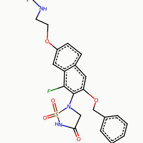 O=C(O)NCCOc1ccc2cc(OCc3ccccc3)c(N3CC(=O)NS3(=O)=O)c(F)c2c1